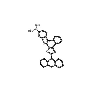 CCCCN(CCCC)c1ccc2c(c1)oc1c3oc(-c4c5ccccc5cc5ccccc45)nc3c3ccccc3c21